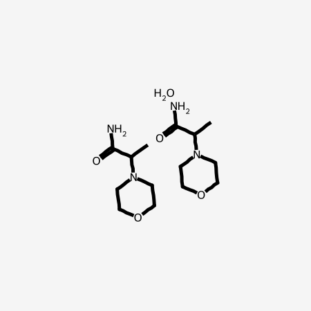 CC(C(N)=O)N1CCOCC1.CC(C(N)=O)N1CCOCC1.O